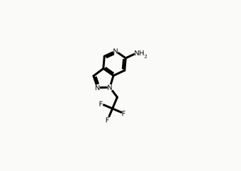 Nc1cc2c(cn1)cnn2CC(F)(F)F